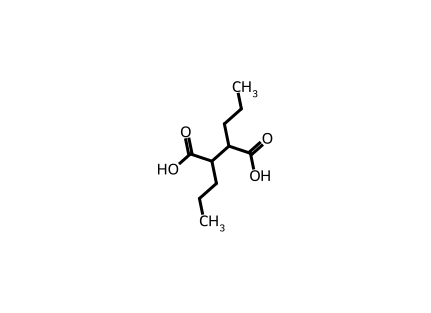 CCCC(C(=O)O)C(CCC)C(=O)O